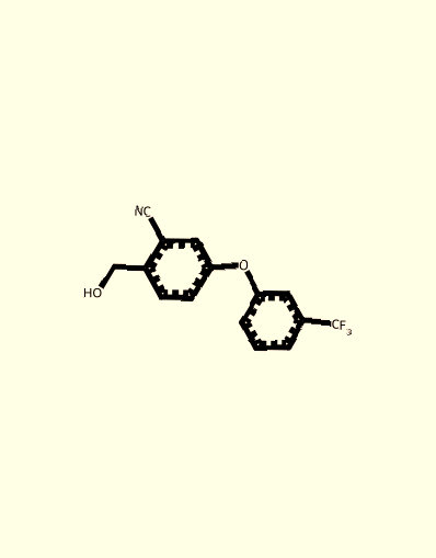 N#Cc1cc(Oc2cccc(C(F)(F)F)c2)ccc1CO